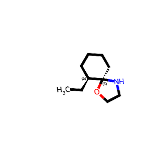 CC[C@H]1CCCC[C@@]12NCCO2